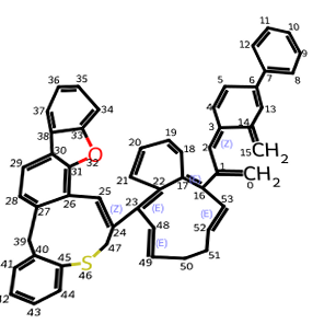 C=C(/C=c1/ccc(-c2ccccc2)cc1=C)C1=c2/cccc/c2=C(\C2=C\c3c(ccc4c3oc3ccccc34)Cc3ccccc3SC2)/C=C/CC/C=C/1